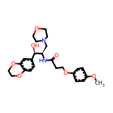 COc1ccc(OCCC(=O)N[C@H](CN2CCOCC2)[C@H](O)c2ccc3c(c2)OCCO3)cc1